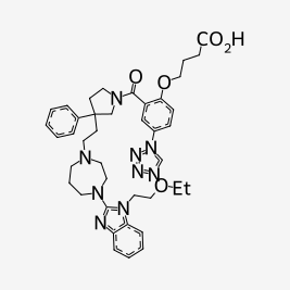 CCOCCn1c(N2CCCN(CCC3(c4ccccc4)CCN(C(=O)c4cc(-n5cnnn5)ccc4OCCCC(=O)O)C3)CC2)nc2ccccc21